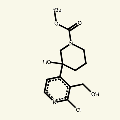 CC(C)(C)OC(=O)N1CCCC(O)(c2ccnc(Cl)c2CO)C1